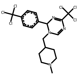 CN1CCC(CN2C=NC(C(Cl)(Cl)Cl)=NC2c2ccc(C(Cl)(Cl)Cl)cc2)CC1